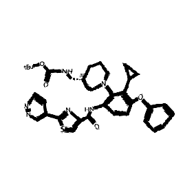 CC(C)(C)OC(=O)NC[C@@H]1CCCN(c2c(NC(=O)c3csc(-c4ccnnc4)n3)ccc(Oc3ccccc3)c2C2CC2)C1